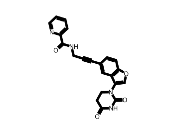 O=C1CCN(c2coc3ccc(C#CCNC(=O)c4ccccn4)cc23)C(=O)N1